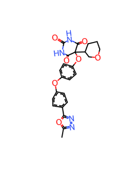 Cc1nnc(-c2ccc(Oc3ccc(OC4(C5CCCOC5)C(=O)NC(=O)NC4=O)cc3)cc2)o1